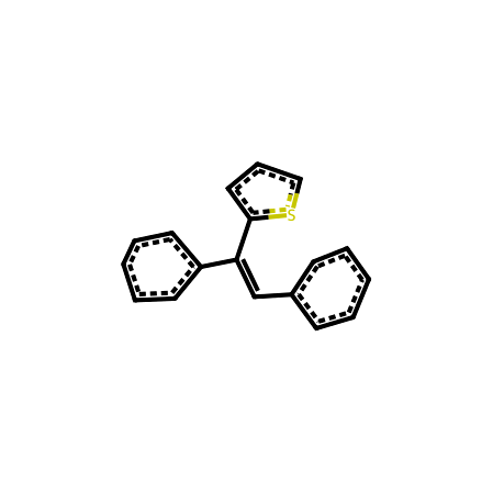 C(=C(\c1ccccc1)c1cccs1)/c1ccccc1